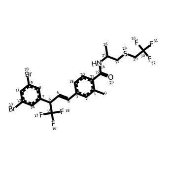 Cc1cc(/C=C/C(c2cc(Br)cc(Br)c2)C(F)(F)F)ccc1C(=O)NC(C)CSCC(F)(F)F